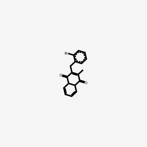 CC1=C(Cc2ccccc2Br)C(=O)C2C=CC=CC2C1=O